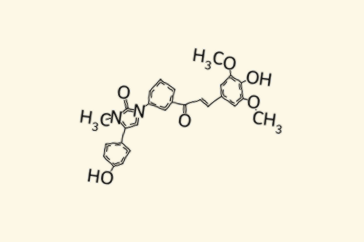 COc1cc(/C=C/C(=O)c2cccc(-n3cc(-c4ccc(O)cc4)n(C)c3=O)c2)cc(OC)c1O